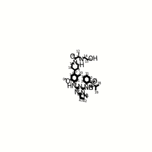 COc1cc(C2CCN(C(=O)[C@@H](C)NCCO)CC2)c(C)cc1Nc1nc(Nc2ccccc2S(=O)(=O)C(C)C)n2nccc2n1